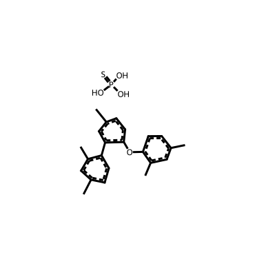 Cc1ccc(Oc2ccc(C)cc2-c2ccc(C)cc2C)c(C)c1.OP(O)(O)=S